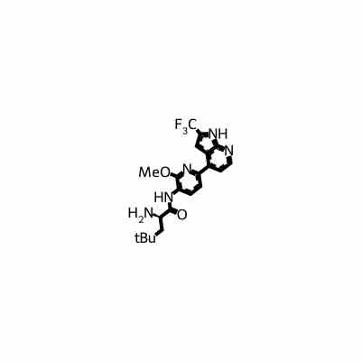 COc1nc(-c2ccnc3[nH]c(C(F)(F)F)cc23)ccc1NC(=O)[C@H](N)CC(C)(C)C